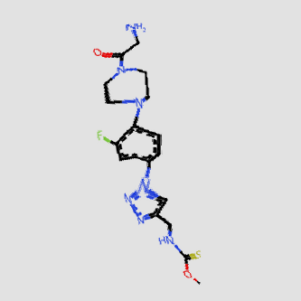 COC(=S)NCc1cn(-c2ccc(N3CCN(C(=O)CN)CC3)c(F)c2)nn1